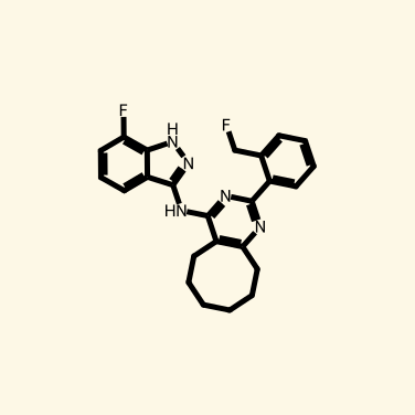 FCc1ccccc1-c1nc2c(c(Nc3n[nH]c4c(F)cccc34)n1)CCCCCC2